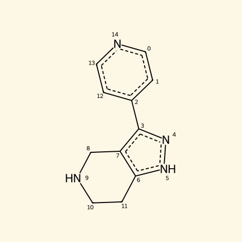 c1cc(-c2n[nH]c3c2CNCC3)ccn1